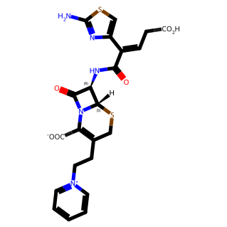 Nc1nc(C(=CCC(=O)O)C(=O)N[C@@H]2C(=O)N3C(C(=O)[O-])=C(CC[n+]4ccccc4)CS[C@@H]23)cs1